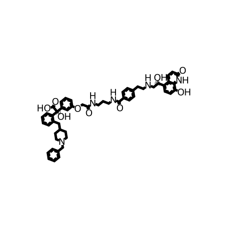 O=C(COc1cccc([C@@](O)(C(=O)O)c2ccccc2CC2CCN(Cc3ccccc3)CC2)c1)NCCCNC(=O)c1ccc(CCNC[C@H](O)c2ccc(O)c3[nH]c(=O)ccc23)cc1